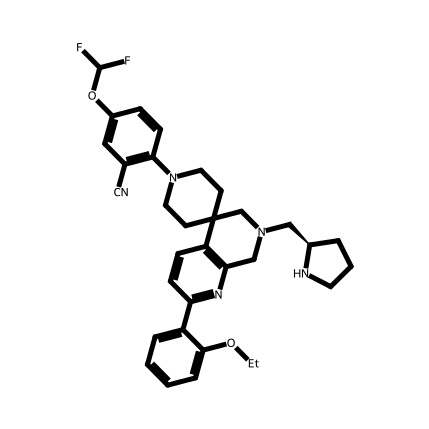 CCOc1ccccc1-c1ccc2c(n1)CN(C[C@H]1CCCN1)CC21CCN(c2ccc(OC(F)F)cc2C#N)CC1